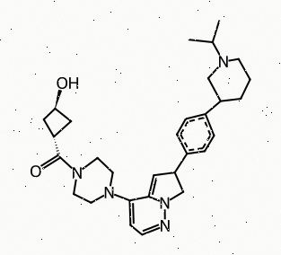 CC(C)N1CCCC(c2ccc(C3C=C4C(N5CCN(C(=O)[C@H]6C[C@H](O)C6)CC5)=CC=NN4C3)cc2)C1